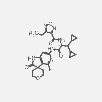 CCc1nonc1C(=O)N[C@H](C(=O)Nc1cc2c(c(F)n1)C1(CCOCC1)C(=O)N2)C(C1CC1)C1CC1